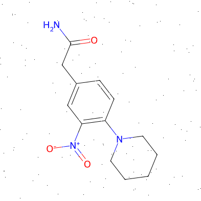 NC(=O)Cc1ccc(N2CCCCC2)c([N+](=O)[O-])c1